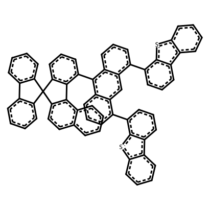 c1ccc2c(c1)-c1ccccc1C21c2cccc(-c3c4cccc(-c5cccc6c5sc5ccccc56)c4cc4c(-c5cccc6c5sc5ccccc56)cccc34)c2-c2c1ccc1ccccc21